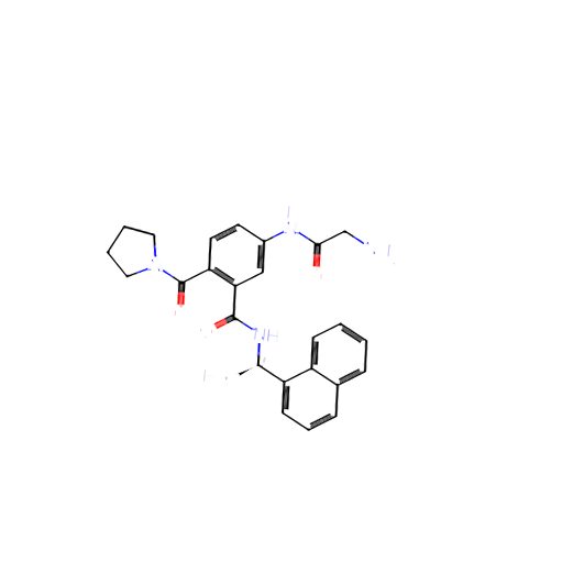 C[C@@H](NC(=O)c1cc(NC(=O)CN)ccc1C(=O)N1CCCC1)c1cccc2ccccc12